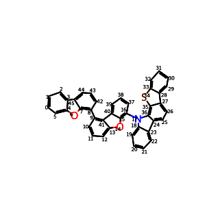 c1ccc2c(c1)oc1c(-c3cccc4oc5c(-n6c7ccccc7c7ccc8c9ccccc9sc8c76)cccc5c34)cccc12